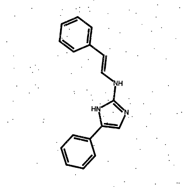 C(=Cc1ccccc1)Nc1ncc(-c2ccccc2)[nH]1